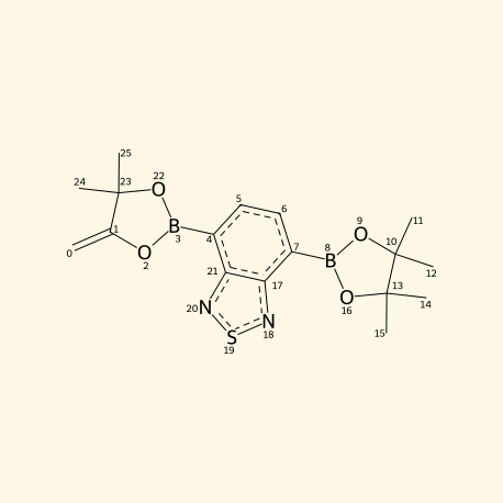 C=C1OB(c2ccc(B3OC(C)(C)C(C)(C)O3)c3nsnc23)OC1(C)C